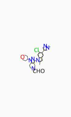 Cc1cc2cc(-c3cnn(C)c3)c(Cl)cc2n1-c1nn(C2CCOCC2)c2c1CN(C=O)CC2